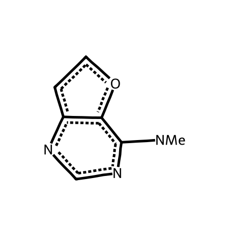 CNc1ncnc2ccoc12